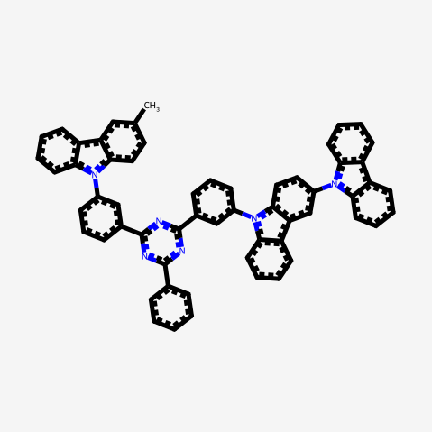 Cc1ccc2c(c1)c1ccccc1n2-c1cccc(-c2nc(-c3ccccc3)nc(-c3cccc(-n4c5ccccc5c5cc(-n6c7ccccc7c7ccccc76)ccc54)c3)n2)c1